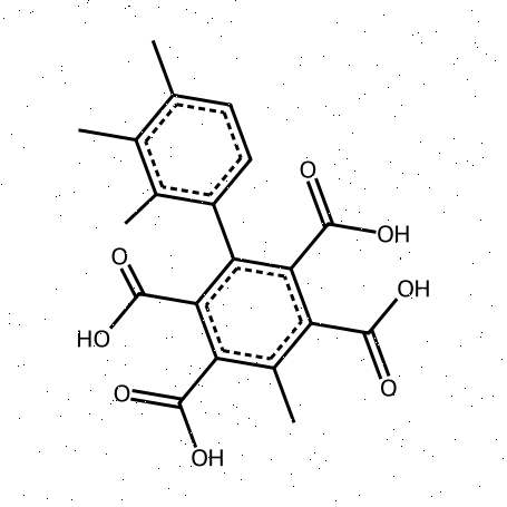 Cc1ccc(-c2c(C(=O)O)c(C(=O)O)c(C)c(C(=O)O)c2C(=O)O)c(C)c1C